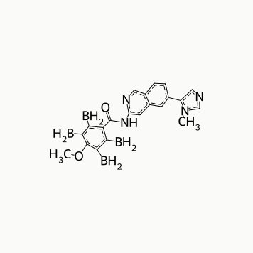 Bc1c(B)c(C(=O)Nc2cc3cc(-c4cncn4C)ccc3cn2)c(B)c(B)c1OC